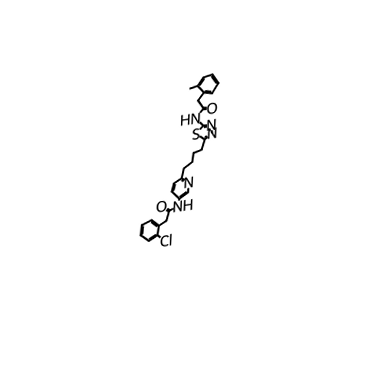 Cc1ccccc1CC(=O)Nc1nnc(CCCCc2ccc(NC(=O)Cc3ccccc3Cl)cn2)s1